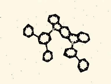 c1ccc(-c2cccc(-n3c4ccccc4c4cc5c6ccccc6n(-c6cc(-c7ccccc7)cc(-c7ccccc7)c6)c5cc43)c2)cc1